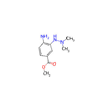 COC(=O)c1ccc(N)c(NN(C)C)c1